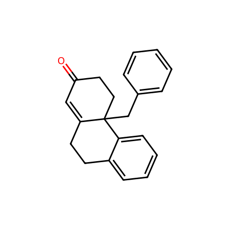 O=C1C=C2CCc3ccccc3C2(Cc2ccccc2)CC1